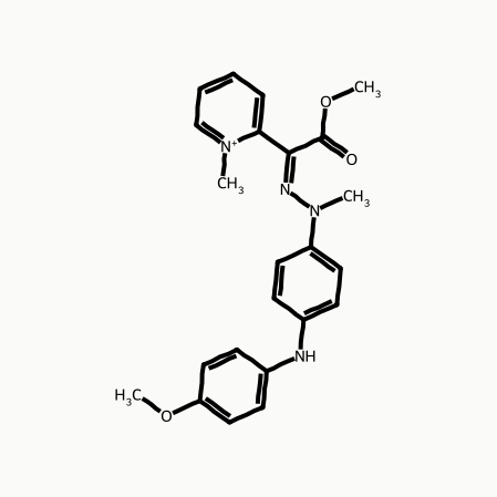 COC(=O)/C(=N\N(C)c1ccc(Nc2ccc(OC)cc2)cc1)c1cccc[n+]1C